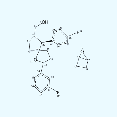 C1CC2OC12.OC[C@H]1CC[C@@]2(CCC(c3cccc(F)c3)O2)[C@@H]1c1ccc(F)cc1